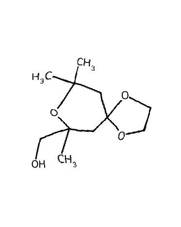 CC1(C)CC2(CC(C)(CO)O1)OCCO2